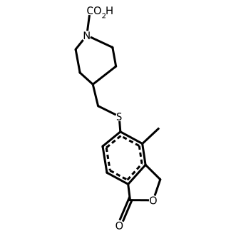 Cc1c(SCC2CCN(C(=O)O)CC2)ccc2c1COC2=O